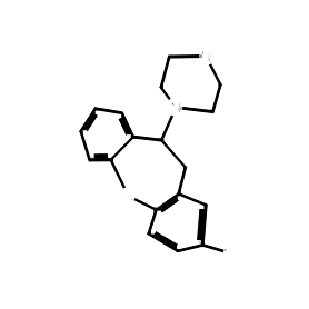 Ic1ccc2c(c1)CC(N1CCNCC1)c1ccccc1S2